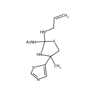 C=CCNC1(NC(C)=O)NC(C)(c2cncs2)CS1